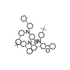 Cc1cc2c3c(c1)N(c1ccc(C(C)(C)C)cc1-c1ccccc1)c1cc(N(c4cccc(-c5ccccc5)c4)c4cccc(-c5ccccc5)c4)ccc1B3N(c1ccc(C(C)(C)C)cc1)c1cc3c(cc1-2)oc1ccccc13